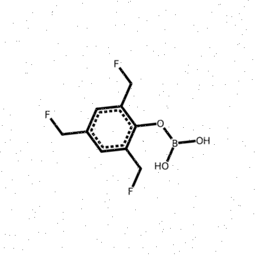 OB(O)Oc1c(CF)cc(CF)cc1CF